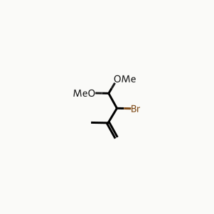 C=C(C)C(Br)C(OC)OC